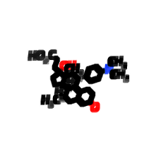 C[C@H]1CC2=CC(=O)CCC2=C2[C@@H]1[C@@H]1CC[C@@](O)(CCC(=O)O)[C@@]1(C)C[C@@H]2c1ccc(N(C)C)cc1